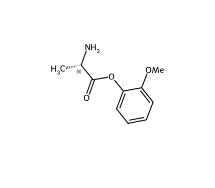 COc1ccccc1OC(=O)[C@H](C)N